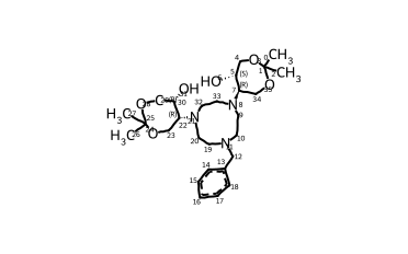 CC1(C)OC[C@@H](O)[C@H](N2CCN(Cc3ccccc3)CCN([C@@H]3COC(C)(C)OC[C@@H]3O)CC2)CO1